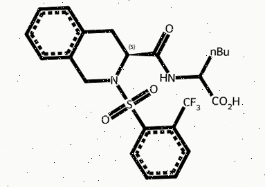 CCCCC(NC(=O)[C@@H]1Cc2ccccc2CN1S(=O)(=O)c1ccccc1C(F)(F)F)C(=O)O